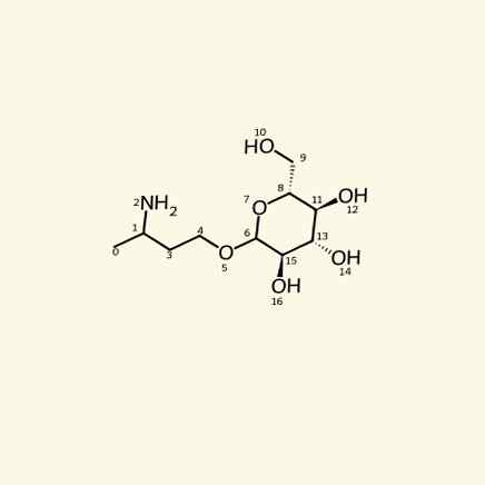 CC(N)CCOC1O[C@H](CO)[C@@H](O)[C@H](O)[C@H]1O